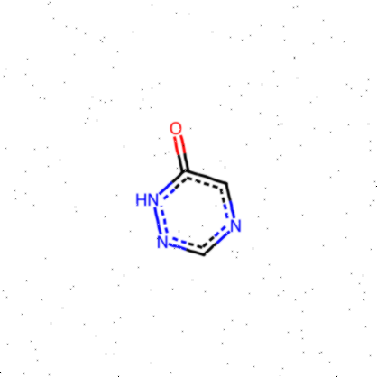 O=c1cncn[nH]1